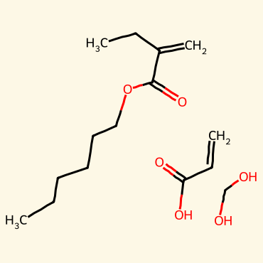 C=C(CC)C(=O)OCCCCCC.C=CC(=O)O.OCO